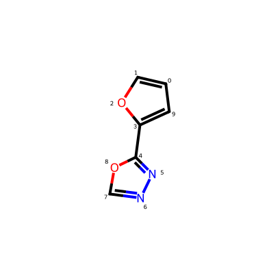 c1coc(-c2nnco2)c1